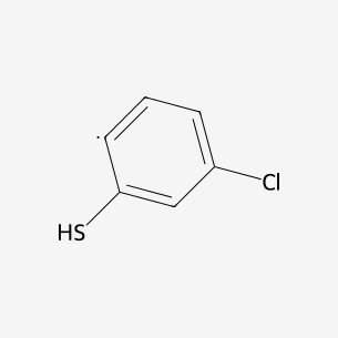 Sc1[c]ccc(Cl)c1